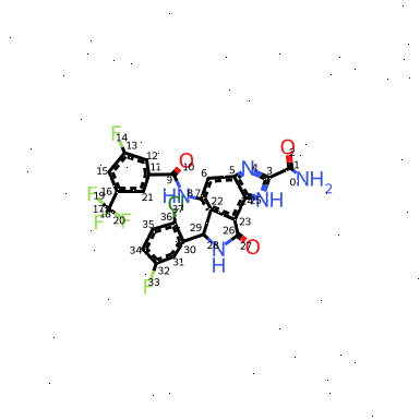 NC(=O)c1nc2cc(NC(=O)c3cc(F)cc(C(F)(F)F)c3)c3c(c2[nH]1)C(=O)NC3c1cc(F)ccc1Cl